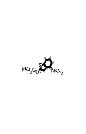 O=C(O)Oc1cc2c([N+](=O)[O-])cccc2s1